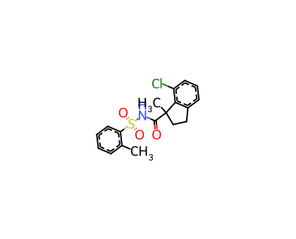 Cc1ccccc1S(=O)(=O)NC(=O)C1(C)CCc2cccc(Cl)c21